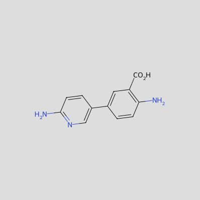 Nc1ccc(-c2ccc(N)c(C(=O)O)c2)cn1